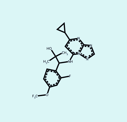 CC(C)(O)C(Nc1cc(C2CC2)nc2ncnn12)c1ccc(OC(F)(F)F)cc1F